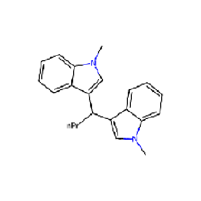 CCCC(c1cn(C)c2ccccc12)c1cn(C)c2ccccc12